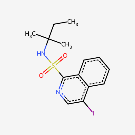 CCC(C)(C)NS(=O)(=O)c1ncc(I)c2ccccc12